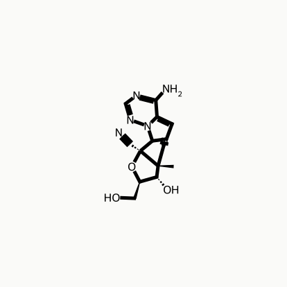 C[C@@]1(C#N)[C@H](O)[C@@H](CO)O[C@@]1(C#N)C1CC=C2C(N)=NC=NN21